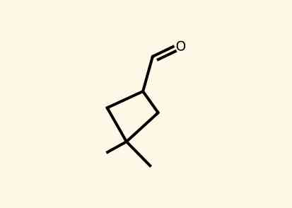 CC1(C)CC(C=O)C1